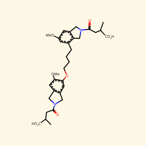 COc1cc(CCCCOc2cc3c(cc2OC)CN(C(=O)CC(C)C(=O)O)C3)c2c(c1)CN(C(=O)CC(C)C(=O)O)C2